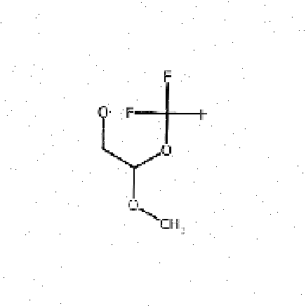 COC(C[O])OC(F)(F)F